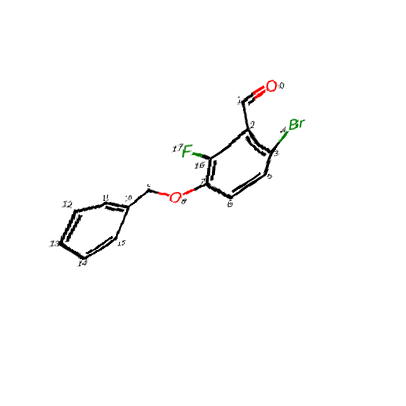 O=Cc1c(Br)ccc(OCc2ccccc2)c1F